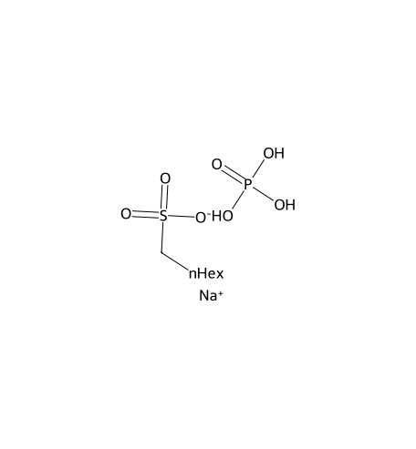 CCCCCCCS(=O)(=O)[O-].O=P(O)(O)O.[Na+]